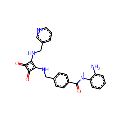 Nc1ccccc1NC(=O)c1ccc(CNc2c(NCc3cccnc3)c(=O)c2=O)cc1